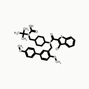 COc1ccc(-c2ccc(OC)c(CN(C(=O)c3sc4ccccc4c3Cl)C3CCC(CN(C(=O)O)C(C)(C)C)CC3)c2)cc1